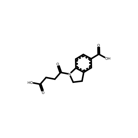 O=C(O)CCC(=O)N1CCc2cc(C(=O)O)ccc21